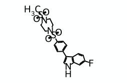 CS(=O)(=O)N1CCN(S(=O)(=O)c2ccc(-c3c[nH]c4cc(F)ccc34)cc2)CC1